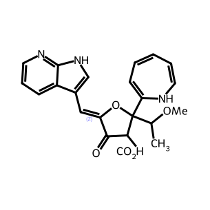 COC(C)C1(C2=CC=CC=CN2)O/C(=C\c2c[nH]c3ncccc23)C(=O)C1C(=O)O